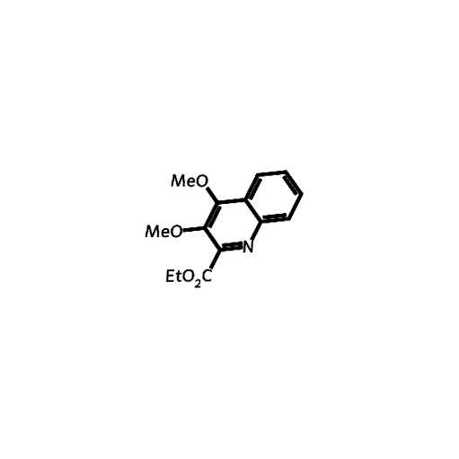 CCOC(=O)c1nc2ccccc2c(OC)c1OC